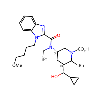 COCCCCn1c(C(=O)N(CC(C)C)[C@H]2C[C@@H](C(O)C3CC3)C(C(C)(C)C)N(C(=O)O)C2)nc2ccccc21